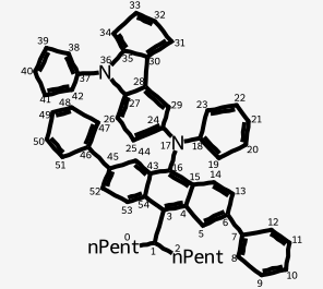 CCCCCC(CCCCC)c1c2cc(-c3ccccc3)ccc2c(N(c2ccccc2)c2ccc3c(c2)c2ccccc2n3-c2ccccc2)c2cc(-c3ccccc3)ccc12